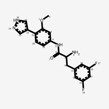 COc1cc(NC(=O)C(N)Cc2cc(F)cc(F)c2)ccc1-c1cn[nH]c1